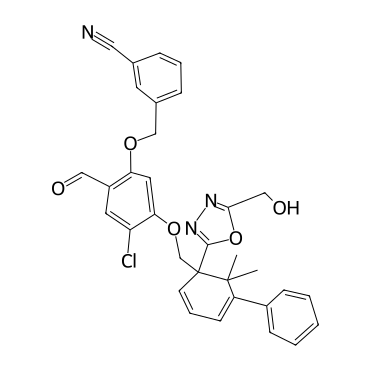 CC1(C)C(c2ccccc2)=CC=CC1(COc1cc(OCc2cccc(C#N)c2)c(C=O)cc1Cl)c1nnc(CO)o1